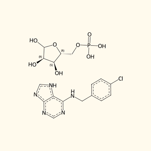 Clc1ccc(CNc2ncnc3nc[nH]c23)cc1.O=P(O)(O)OC[C@H]1OC(O)[C@H](O)[C@@H]1O